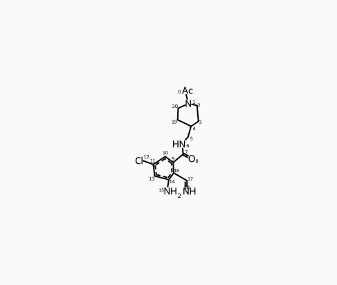 CC(=O)N1CCC(CNC(=O)c2cc(Cl)cc(N)c2C=N)CC1